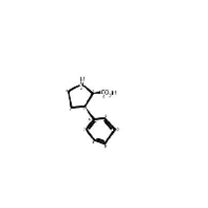 O=C(O)[C@@H]1NCC[C@@H]1c1ccccc1